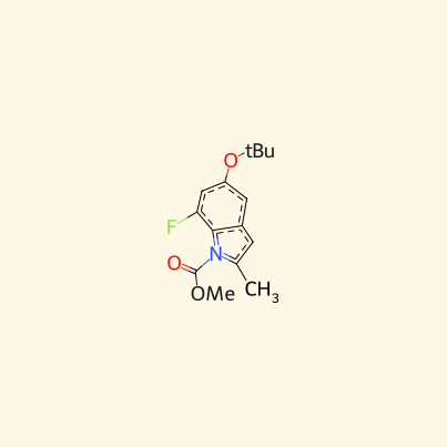 COC(=O)n1c(C)cc2cc(OC(C)(C)C)cc(F)c21